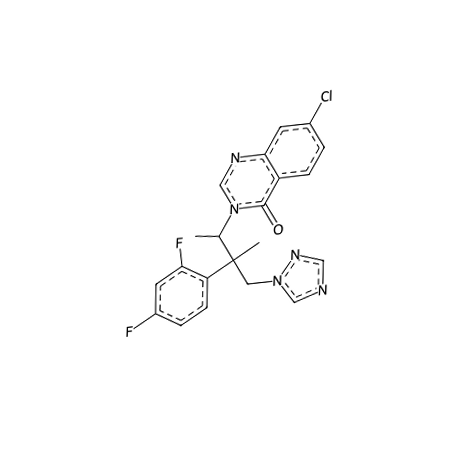 CC(n1cnc2cc(Cl)ccc2c1=O)C(C)(Cn1cncn1)c1ccc(F)cc1F